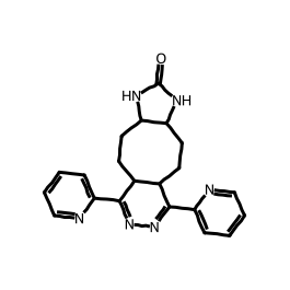 O=C1NC2CCC3C(c4ccccn4)=NN=C(c4ccccn4)C3CCC2N1